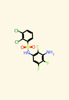 Nc1c(F)c(F)cc(NS(=O)(=O)c2cccc(Cl)c2Cl)c1F